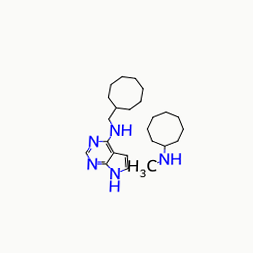 CNC1CCCCCCC1.c1nc(NCC2CCCCCCC2)c2cc[nH]c2n1